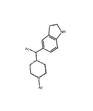 CC(=O)C(c1ccc2c(c1)CCN2)C1CCN(C(C)=O)CC1